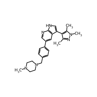 Cc1nn(C)c(C)c1-c1c[nH]c2ncc(-c3ccc(CN4CCN(C)CC4)cc3)cc12